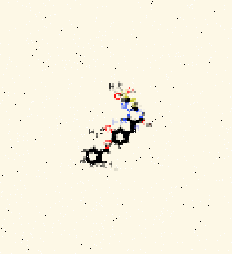 COc1cc(/C=C2\C(=N)N3N=C(S(C)(=O)=O)SC3=NC2=O)ccc1OCc1ccccc1C